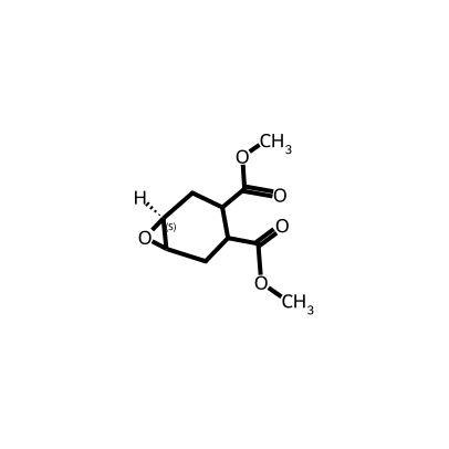 COC(=O)C1CC2O[C@H]2CC1C(=O)OC